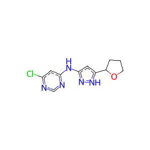 Clc1cc(Nc2cc(C3CCCO3)[nH]n2)ncn1